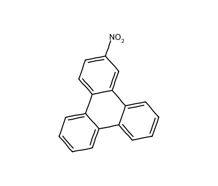 O=[N+]([O-])c1ccc2c3ccccc3c3ccccc3c2c1